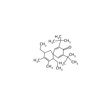 CCC1CC2(C=C(C(C)(C)C)C(=O)C(C(C)(C)C)=C2)C(CC)C(C)=C1C